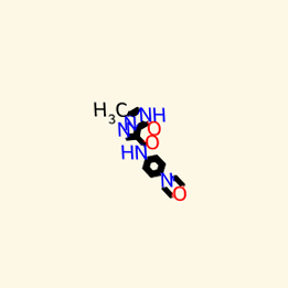 Cc1c[nH]c(=O)c2c(C(=O)Nc3ccc(N4CCOCC4)cc3)cnn12